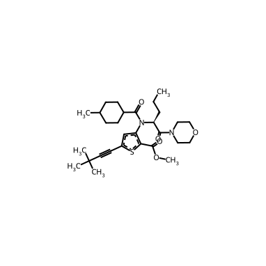 CCC[C@@H](C(=O)N1CCOCC1)N(C(=O)C1CCC(C)CC1)c1cc(C#CC(C)(C)C)sc1C(=O)OC